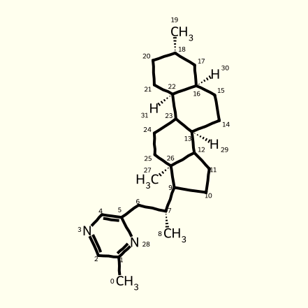 Cc1cncc(C[C@@H](C)C2CCC3[C@@H]4CC[C@@H]5C[C@@H](C)CC[C@@H]5C4CC[C@@]32C)n1